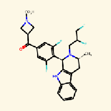 C[C@@H]1Cc2c([nH]c3ccccc23)[C@@H](c2c(F)cc(C(=O)C3CN(C(=O)O)C3)cc2F)N1CC(F)CF